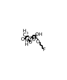 Cc1cn([C@H]2C[C@H](O)[C@@H](COCCCCF)O2)c(=O)[nH]c1=O